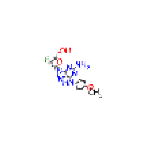 COc1ccc(Nc2nc(N)nc3c2ncn3[C@H]2C[C@H](F)[C@@H](CO)O2)cc1